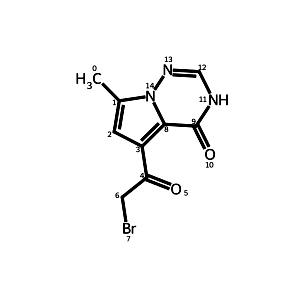 Cc1cc(C(=O)CBr)c2c(=O)[nH]cnn12